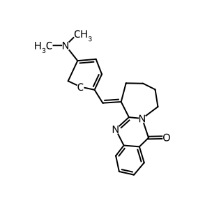 CN(C)C1=CC=C(C=C2CCCCn3c2nc2ccccc2c3=O)CC1